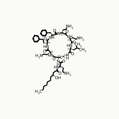 CCCCCCC[C@@H](O)CC(=O)N[C@H](CCN)C(=O)N[C@H]1CCNC(=O)[C@H](CC(C)C)NC(=O)[C@H](CCN)NC(=O)[C@H](CCN)NC(=O)[C@H](Cc2ccccc2)NC(=O)[C@@H](CCc2ccccc2)NC(=O)[C@H](CCN)NC1=O